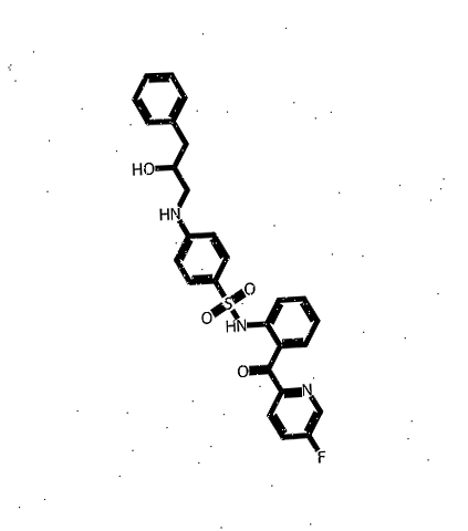 O=C(c1ccc(F)cn1)c1ccccc1NS(=O)(=O)c1ccc(NCC(O)Cc2ccccc2)cc1